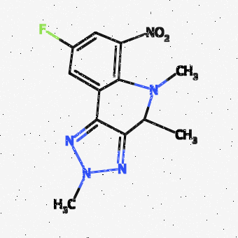 CC1c2nn(C)nc2-c2cc(F)cc([N+](=O)[O-])c2N1C